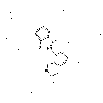 O=C(Nc1cccc2c1CNCC2)c1ccccc1Br